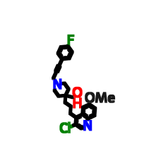 COc1ccc2ncc(Cl)c(CCCC3(CO)CCN(CC#Cc4ccc(F)cc4)CC3)c2c1